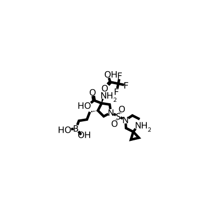 CCN(CC1(N)CC1)S(=O)(=O)N1C[C@H](CCCB(O)O)[C@](N)(C(=O)O)C1.O=C(O)C(F)(F)F